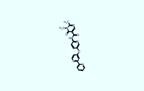 Cc1ncc(C(=O)Nc2ccc(Oc3ccnc(-c4ccccn4)c3)cn2)c(=O)n1C